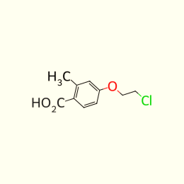 Cc1cc(OCCCl)ccc1C(=O)O